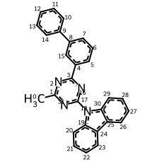 Cc1nc(-c2cccc(-c3ccccc3)c2)nc(-n2c3ccccc3c3ccccc32)n1